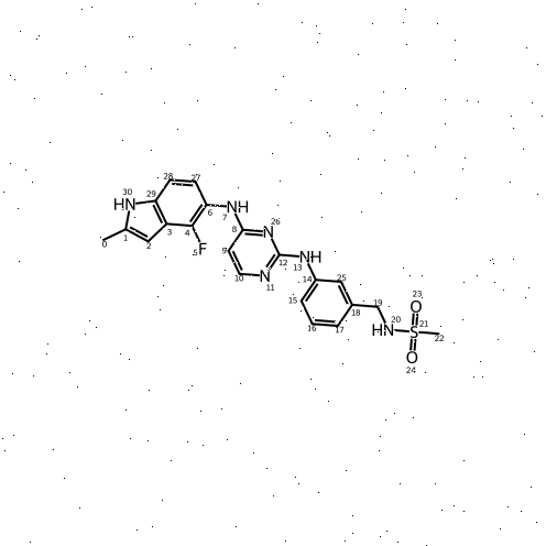 Cc1cc2c(F)c(Nc3ccnc(Nc4cccc(CNS(C)(=O)=O)c4)n3)ccc2[nH]1